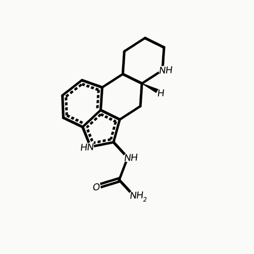 NC(=O)Nc1[nH]c2cccc3c2c1C[C@H]1NCCCC31